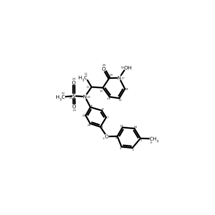 Cc1ccc(Oc2ccc(N(C(C)c3cccn(O)c3=O)S(C)(=O)=O)cc2)cc1